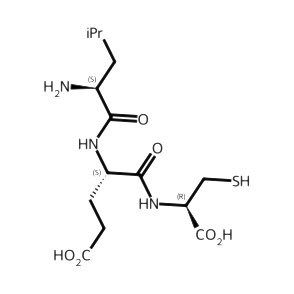 CC(C)C[C@H](N)C(=O)N[C@@H](CCC(=O)O)C(=O)N[C@@H](CS)C(=O)O